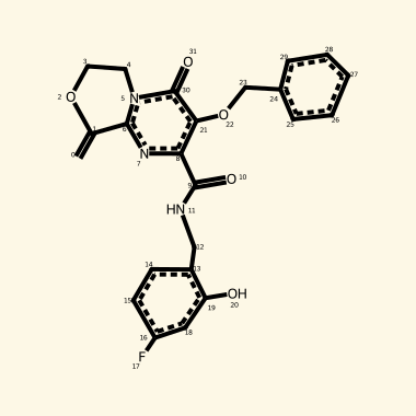 C=C1OCCn2c1nc(C(=O)NCc1ccc(F)cc1O)c(OCc1ccccc1)c2=O